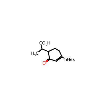 CCCCCCC1=CC(=O)C(C(C)C(=O)O)CC1